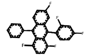 Fc1ccc(-c2c3cc(F)ccc3c(-c3ccccc3)c3c(F)ccc(F)c23)c(F)c1